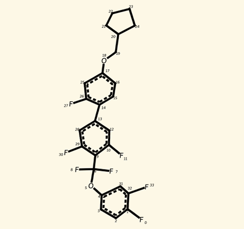 Fc1ccc(OC(F)(F)c2c(F)cc(-c3ccc(OCC4CCCC4)cc3F)cc2F)cc1F